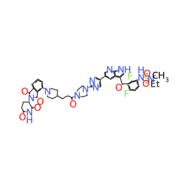 CCN(C)S(=O)(=O)Nc1ccc(F)c(C(=O)c2c[nH]c3ncc(-c4cnc(N5CCN(C(=O)CCC6CCN(c7cccc8c7C(=O)N(C7CCC(=O)NC7=O)C8=O)CC6)CC5)nc4)cc23)c1F